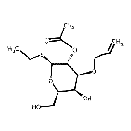 C=CCO[C@H]1[C@@H](O)[C@@H](CO)O[C@@H](SCC)[C@@H]1OC(C)=O